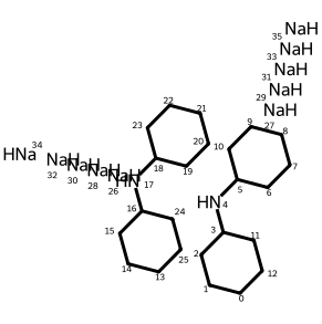 C1CCC(NC2CCCCC2)CC1.C1CCC(NC2CCCCC2)CC1.[NaH].[NaH].[NaH].[NaH].[NaH].[NaH].[NaH].[NaH].[NaH].[NaH]